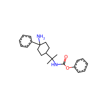 CC(C)(NC(=O)Oc1ccccc1)C1CCC(N)(c2ccccc2)CC1